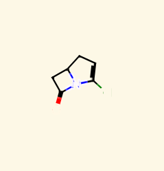 O=C1CC2CC=C(Cl)N12